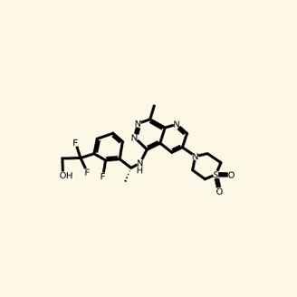 Cc1nnc(N[C@H](C)c2cccc(C(F)(F)CO)c2F)c2cc(N3CCS(=O)(=O)CC3)cnc12